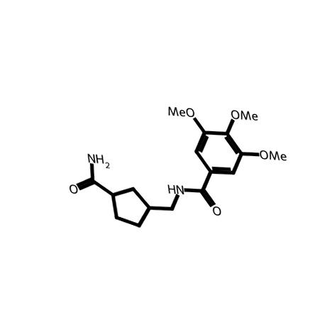 COc1cc(C(=O)NCC2CCC(C(N)=O)C2)cc(OC)c1OC